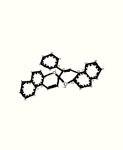 C1=CC2(Oc3ccc4ccccc4c31)Oc1ccc3ccccc3c1C=C2c1ccccc1